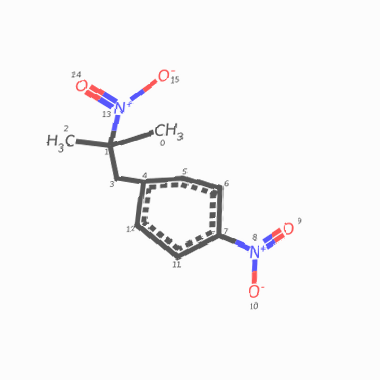 CC(C)(Cc1ccc([N+](=O)[O-])cc1)[N+](=O)[O-]